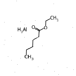 CCCCCC(=O)OCC.[AlH3]